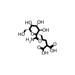 NC(=O)[C@@]1(CCCC(C(=O)O)C(=O)O)O[C@H](CO)[C@@H](O)[C@H](O)[C@H]1O